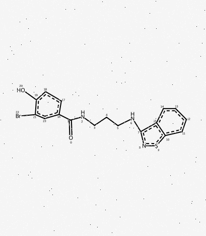 O=C(NCCCNc1nsc2ccccc12)c1ccc(O)c(Br)c1